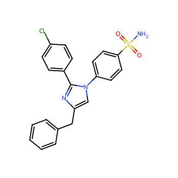 NS(=O)(=O)c1ccc(-n2cc(Cc3ccccc3)nc2-c2ccc(Cl)cc2)cc1